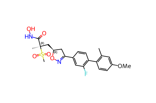 COc1ccc(-c2ccc(C3=NO[C@@H](C[C@](C)(C(=O)NO)S(C)(=O)=O)C3)cc2F)c(C)c1